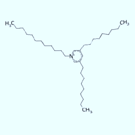 CCCCCCCCCCCC[n+]1cc(CCCCCCCCC)cc(CCCCCCCCC)c1